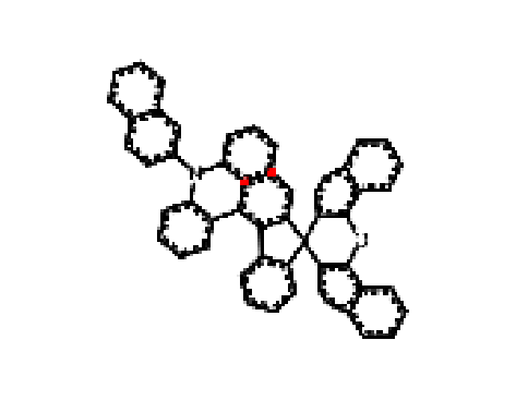 c1ccc(N(c2ccc3ccccc3c2)c2ccccc2-c2cccc3c2-c2ccccc2C32c3ccc4ccccc4c3Oc3c2ccc2ccccc32)cc1